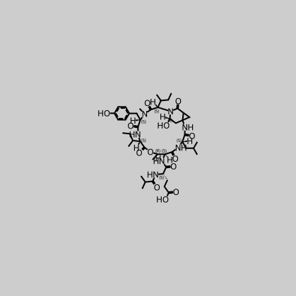 CCC(C)[C@@H]1NC(=O)[C@H](Cc2ccc(O)cc2)N(C)C(=O)[C@H](C(C)CC)N2C(=O)C3CC3(C[C@@H]2O)NC(=O)[C@H](CC(C)C)NC(=O)[C@@H](NC(=O)[C@H](CCC(=O)O)NC(=O)C(C)C)[C@@H](C)OC1=O